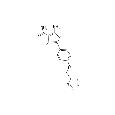 Cc1c(-c2ccc(OCc3cscn3)cc2)sc(N)c1C(N)=O